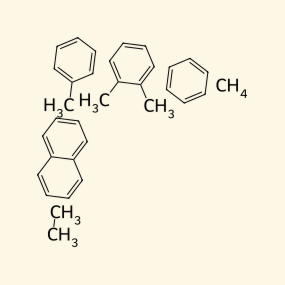 C.CC.Cc1ccccc1.Cc1ccccc1C.c1ccc2ccccc2c1.c1ccccc1